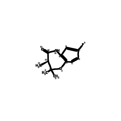 CC1(C)Oc2ccc(F)cc2NC(=O)[C@@H]1N